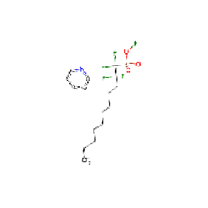 O=S(=O)(OF)C(F)(F)C(F)(F)CCCCCCCCC(F)(F)F.c1ccncc1